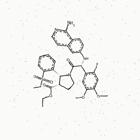 CCOC(=O)[C@H]1CCN(C(=O)[C@H](Nc2ccc3c(N)nccc3c2)c2cc(OC)c(OC)cc2F)[C@H]1c1ccccc1S(=O)(=O)CC